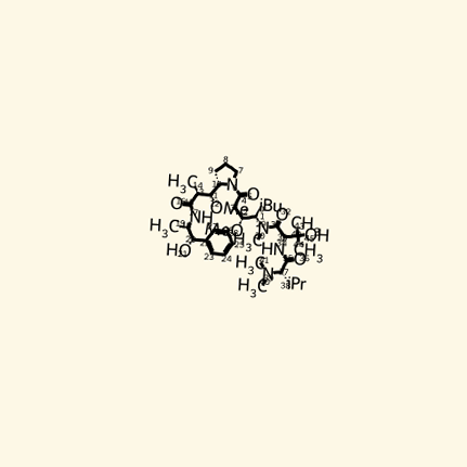 CC[C@H](C)[C@@H]([C@@H](CC(=O)N1CCC[C@H]1[C@H](OC)[C@@H](C)C(=O)N[C@H](C)[C@@H](O)c1ccccc1)OC)N(C)C(=O)[C@@H](NC(=O)[C@H](C(C)C)N(C)C)C(C)(C)O